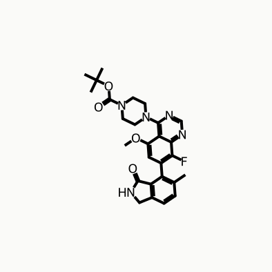 COc1cc(-c2c(C)ccc3c2C(=O)NC3)c(F)c2ncnc(N3CCN(C(=O)OC(C)(C)C)CC3)c12